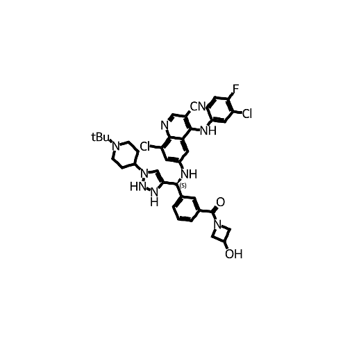 CC(C)(C)N1CCC(N2C=C([C@@H](Nc3cc(Cl)c4ncc(C#N)c(Nc5ccc(F)c(Cl)c5)c4c3)c3cccc(C(=O)N4CC(O)C4)c3)NN2)CC1